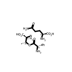 CC(C)[C@H](N)C(=O)O[C@H](C)[C@H](N)C(=O)O.NC(=O)CC[C@H](N)C(=O)O